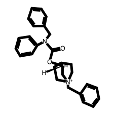 O=C(O[C@H]1C[N+]2(Cc3ccccc3)CCC1CC2)N(Cc1ccccc1)c1ccccc1